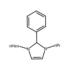 CCCCCCN1C=CN(CCC)C1c1ccccc1